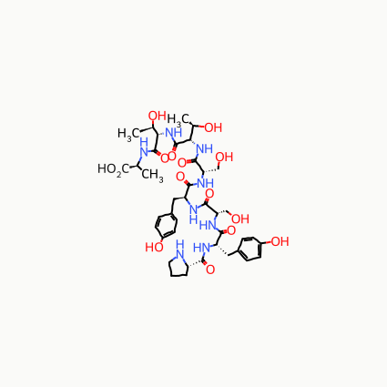 C[C@H](NC(=O)[C@@H](NC(=O)[C@@H](NC(=O)[C@H](CO)NC(=O)[C@H](Cc1ccc(O)cc1)NC(=O)[C@H](CO)NC(=O)[C@H](Cc1ccc(O)cc1)NC(=O)[C@@H]1CCCN1)[C@@H](C)O)[C@@H](C)O)C(=O)O